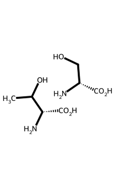 CC(O)[C@@H](N)C(=O)O.N[C@H](CO)C(=O)O